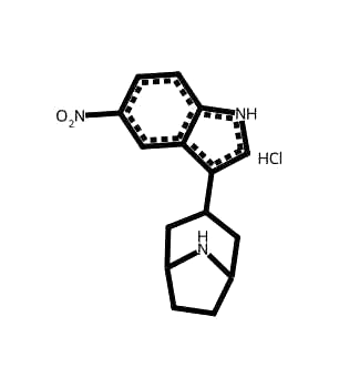 Cl.O=[N+]([O-])c1ccc2[nH]cc(C3CC4CCC(C3)N4)c2c1